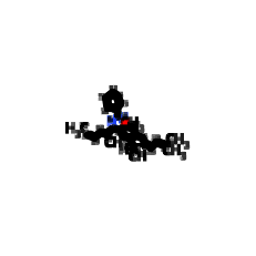 C#Cc1cc(C(=N\C(=N/C)c2ccccc2)/C(C)=C/C=C\C)ccc1C/C(C)=C\C=C(C)C